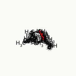 C/C1=C/C=C/[C@H](C)[C@H](O)[C@@H](C)[C@@H](O)[C@@H](C)[C@H](OC(=O)C(C)C(=O)N2CCC(n3c(=O)[nH]c4ccccc43)CC2)[C@H](C)C/C=C/O[C@@]2(C)Oc3c(C)c(O)c4c(c3C2=O)C2=NC3(CCN(CC(C)C)CC3)NC2=C(NC1=O)C4=O